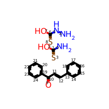 NC(O)=S.NNC(O)=S.O=C(C=Cc1ccccc1)c1ccccc1